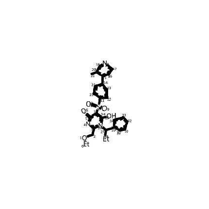 CCOCc1nc(=O)c(S(=O)(=O)c2ccc(-c3ccncc3C)cc2)c(O)n1C(CC)c1ccccc1